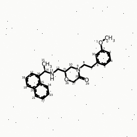 COc1cccc(CCN2CC(CN[C@H](C)c3cccc4ccccc34)OCC2=O)c1